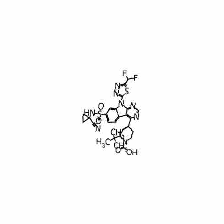 CC(C)(C)C1CC(c2ncnc3c2c2ccc(S(=O)(=O)NC4(C#N)CC4)cc2n3-c2nnc(C(F)F)s2)CCN1C(=O)O